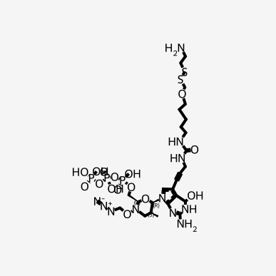 C[C@H]1CN(OCN=[N+]=[N-])[C@@H](COP(=O)(O)OP(=O)(O)OP(=O)(O)O)O[C@H]1n1cc(C#CCNC(=O)NCCCCCOCSSCCN)c2c1N=C(N)NC2O